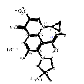 C/C=C(\Cl)c1c(N2CCC(C)(N)C2)c(F)cc2c(=O)c(C(=O)O)cn(C3CC3)c12.Cl